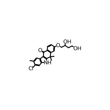 Cc1cc2c3c([nH]c2cc1Cl)C(C)(C)c1cc(OCC(O)CCO)ccc1C3=O